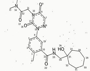 Cc1ccc(-n2ncc(=O)n(CC(=O)N(C)C)c2=O)cc1C(=O)NCC1(O)CCCCCC1